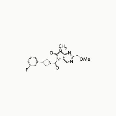 COCc1ncc2c(n1)n(C)c(=O)n2C(=O)N1CC(c2cccc(F)c2)C1